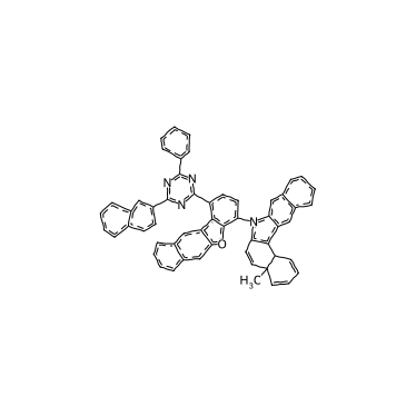 CC12C=CC=CC1c1c(n(-c3ccc(-c4nc(-c5ccccc5)nc(-c5ccc6ccccc6c5)n4)c4c3oc3cc5ccccc5cc34)c3cc4ccccc4cc13)C=C2